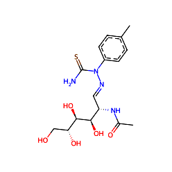 CC(=O)N[C@@H](C=NN(C(N)=S)c1ccc(C)cc1)[C@@H](O)[C@H](O)[C@H](O)CO